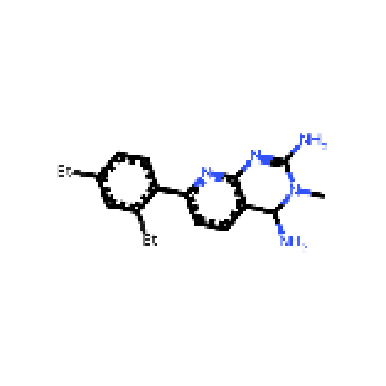 CCc1ccc(-c2ccc3c(n2)N=C(N)N(C)C3N)c(CC)c1